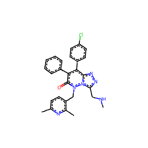 CNCc1nnc2c(-c3ccc(Cl)cc3)c(-c3ccccc3)c(=O)n(Cc3ccc(C)nc3C)n12